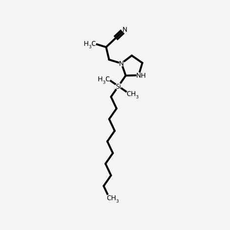 CCCCCCCCCC[Si](C)(C)C1NCCN1CC(C)C#N